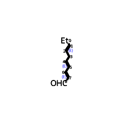 CC/C=C/C/C=C/C=C/C=O